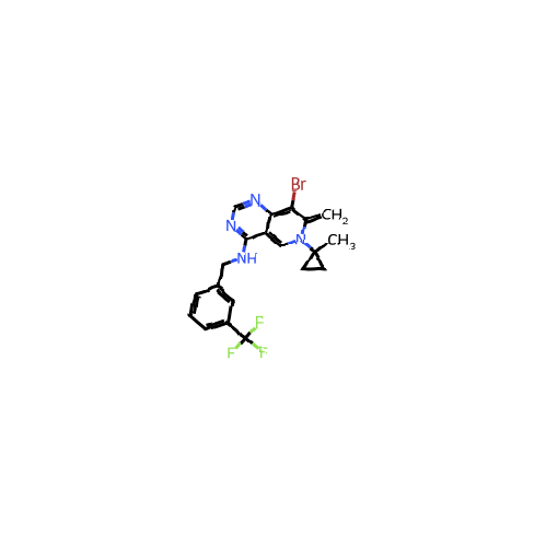 C=C1C(Br)=c2ncnc(NCc3cccc(C(F)(F)F)c3)c2=CN1C1(C)CC1